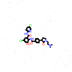 CN(C)CCN1CCC(c2ccc(C(=O)Nc3c(O)cc(Cl)cc3C(=O)Nc3ccc(Cl)cn3)cc2)C1=O